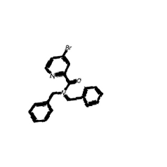 O=C(c1cc(Br)ccn1)N(Cc1ccccc1)Cc1ccccc1